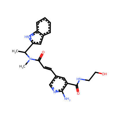 CC(c1cc2ccccc2[nH]1)N(C)C(=O)C=Cc1cnc(N)c(C(=O)NCCO)c1